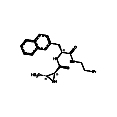 CC(C)CCNC(=O)[C@H](Cc1ccc2ccccc2c1)NC(=O)[C@H]1N[C@@H]1C(=O)O